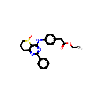 CCOC(=O)Cc1ccc(Nc2nc(-c3ccccc3)nc3c2[S+]([O-])CCC3)cc1